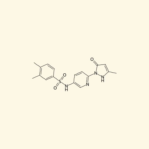 Cc1cc(=O)n(-c2ccc(NS(=O)(=O)c3ccc(C)c(C)c3)cn2)[nH]1